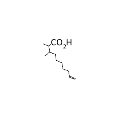 C=CCCCCCC(C)C(C)C(=O)O